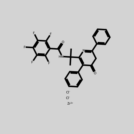 CC(C)(NC(=O)c1c(F)c(F)c(F)c(F)c1F)C1=C(c2ccccc2)C(=O)CC(c2ccccc2)=N1.[Cl-].[Cl-].[Zr+2]